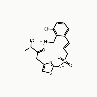 CCN(C)C(=O)Cc1csc(NS(=O)(=O)CC=Cc2cccc(Cl)c2CN)n1